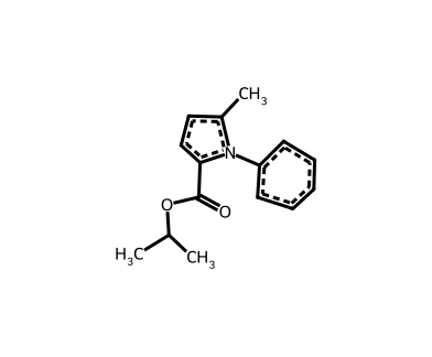 Cc1ccc(C(=O)OC(C)C)n1-c1ccccc1